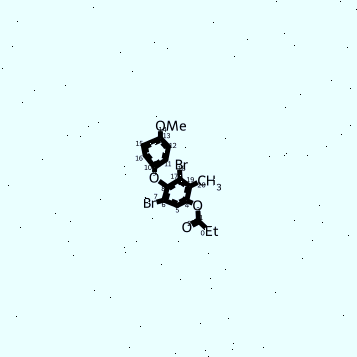 CCC(=O)Oc1cc(Br)c(Oc2ccc(OC)cc2)c(Br)c1C